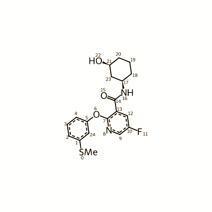 CSc1cccc(Oc2ncc(F)cc2C(=O)N[C@@H]2CCC[C@H](O)C2)c1